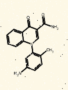 Cc1ccc(N)cc1-n1cc(C(N)=O)c(=O)c2ccccc21